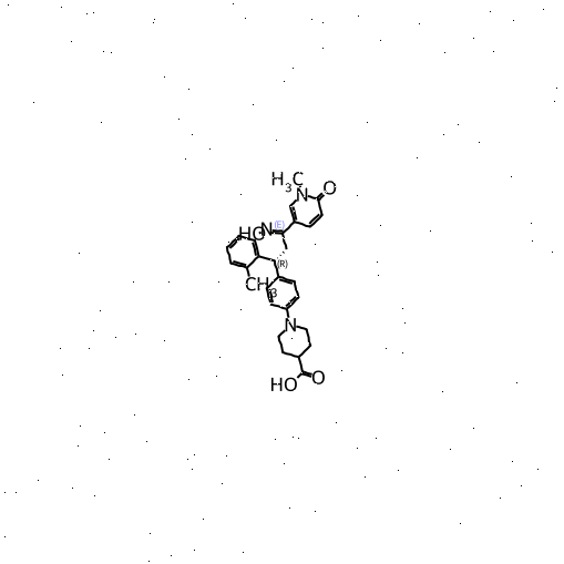 Cc1ccccc1[C@H](C/C(=N\O)c1ccc(=O)n(C)c1)c1ccc(N2CCC(C(=O)O)CC2)cc1